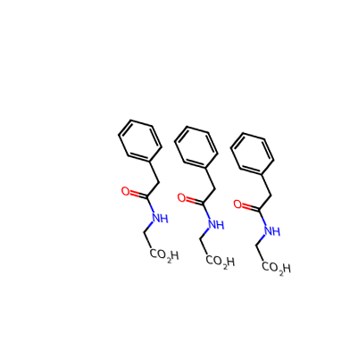 O=C(O)CNC(=O)Cc1ccccc1.O=C(O)CNC(=O)Cc1ccccc1.O=C(O)CNC(=O)Cc1ccccc1